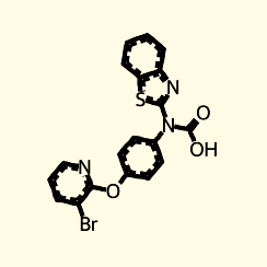 O=C(O)N(c1ccc(Oc2ncccc2Br)cc1)c1nc2ccccc2s1